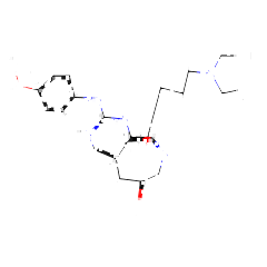 CCN(CC)CCCC1=CC2=NCC(=O)CC3=CN=C(Nc4ccc(OC)cc4)NC32C=C1